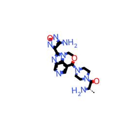 CCn1c(-c2nonc2N)nc2cncc(C(=O)N3CCN(C(=O)[C@H](C)N)CC3)c21